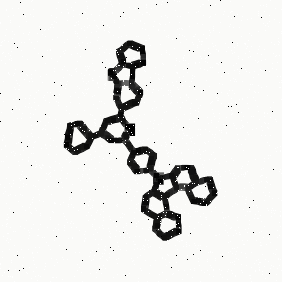 c1ccc(-c2cc(-c3ccc(-n4c5ccc6ccccc6c5c5c6ccccc6ccc54)cc3)nc(-c3ccc4c(c3)sc3ccccc34)c2)cc1